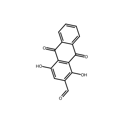 O=Cc1cc(O)c2c(c1O)C(=O)c1ccccc1C2=O